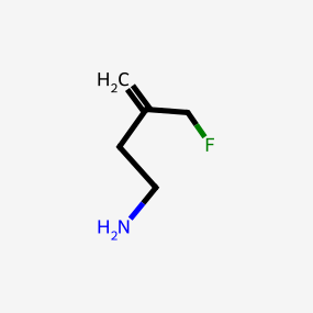 C=C(CF)CCN